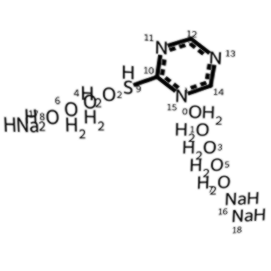 O.O.O.O.O.O.O.O.O.Sc1ncncn1.[NaH].[NaH].[NaH]